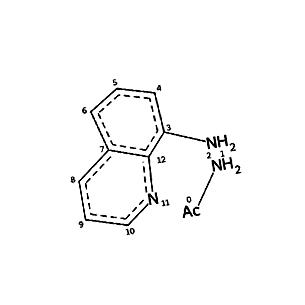 CC(N)=O.Nc1cccc2cccnc12